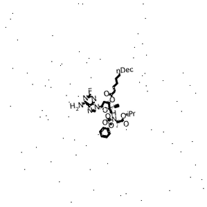 C#C[C@]1(CO[P@@](=O)(N[C@@H](C)C(=O)OC(C)C)Oc2ccccc2)O[C@@H](n2cnc3c(N)nc(F)nc32)C[C@@H]1OC(=O)CCCCCCCCCCCCCCC